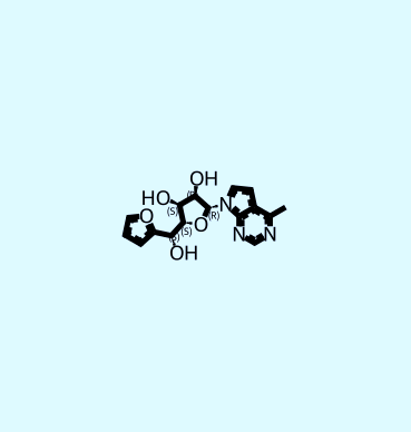 Cc1ncnc2c1ccn2[C@@H]1O[C@H]([C@H](O)c2ccco2)[C@@H](O)[C@H]1O